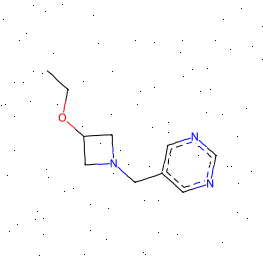 CCOC1CN(Cc2cncnc2)C1